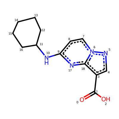 O=C(O)c1cnn2ccc(NC3CCCCC3)nc12